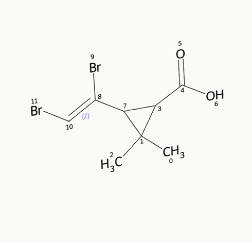 CC1(C)C(C(=O)O)C1/C(Br)=C/Br